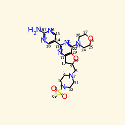 CS(=O)(=O)N1CCN(CC2Cc3nc(-c4cnc(N)nc4)nc(N4CCOCC4)c3O2)CC1